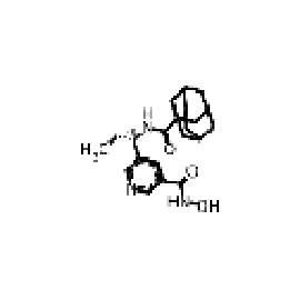 CC[C@H](NC(=O)C12CC3CC(CC(C3)C1)C2)c1cncc(C(=O)NO)c1